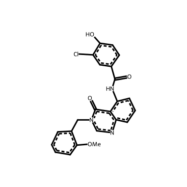 COc1ccccc1Cn1cnc2cccc(NC(=O)c3ccc(O)c(Cl)c3)c2c1=O